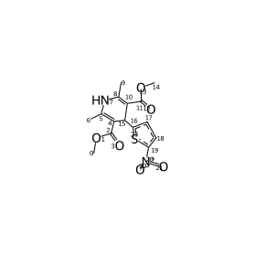 COC(=O)C1=C(C)NC(C)=C(C(=O)OC)C1c1ccc([N+](=O)[O-])s1